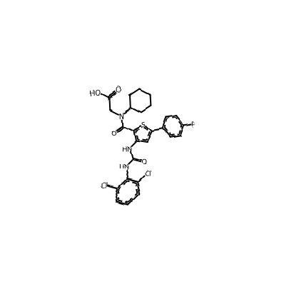 O=C(O)CN(C(=O)c1sc(-c2ccc(F)cc2)cc1NC(=O)Nc1c(Cl)cccc1Cl)C1CCCCC1